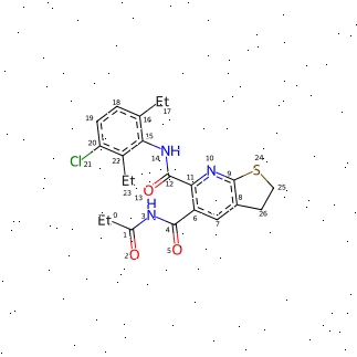 CCC(=O)NC(=O)c1cc2c(nc1C(=O)Nc1c(CC)ccc(Cl)c1CC)SCC2